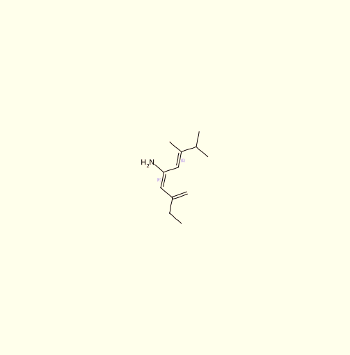 C=C(/C=C(N)\C=C(/C)C(C)C)CC